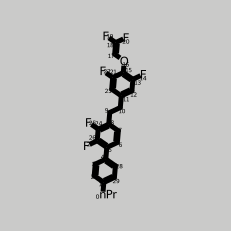 CCCc1ccc(-c2ccc(CCc3cc(F)c(OC=C(F)F)c(F)c3)c(F)c2F)cc1